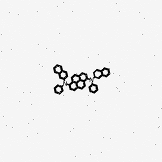 C1=c2ccccc2=CC(N(c2ccccc2)c2ccc3ccc4c(N(c5ccccc5)c5ccc6ccccc6c5)ccc5ccc2c3c54)C1